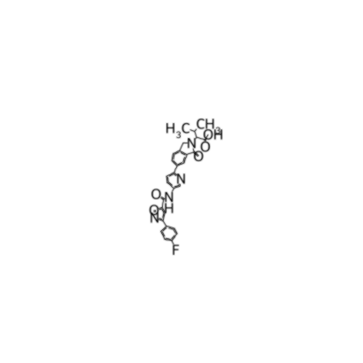 CC(C)C(C(=O)O)N1Cc2ccc(-c3ccc(NC(=O)c4cc(-c5ccc(F)cc5)no4)cn3)cc2C1=O